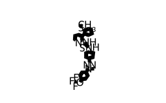 CSc1ccccc1-c1cccnc1NC(=S)Nc1ccc(-c2ncn(-c3ccc(OC(F)(F)F)cc3)n2)cc1